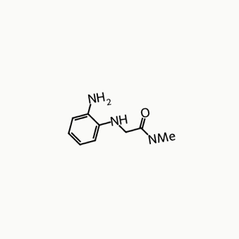 CNC(=O)CNc1ccccc1N